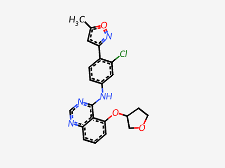 Cc1cc(-c2ccc(Nc3ncnc4cccc(OC5CCOC5)c34)cc2Cl)no1